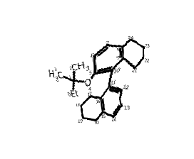 CCC(C)(C)Oc1ccc2c(c1-c1cccc3c1CCCC3)CCCC2